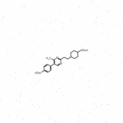 CCCCCCCCCCc1ccc(-c2cnc(CCC3CCC(CCCCC)CC3)nc2C)cc1